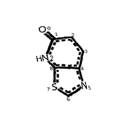 O=c1ccc2n[c]sc2[nH]1